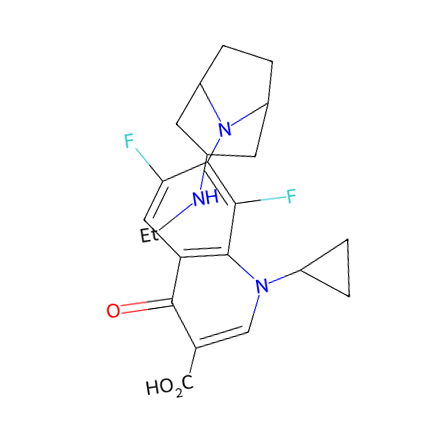 CCNC1CC2CCC(C1)N2c1c(F)cc2c(=O)c(C(=O)O)cn(C3CC3)c2c1F